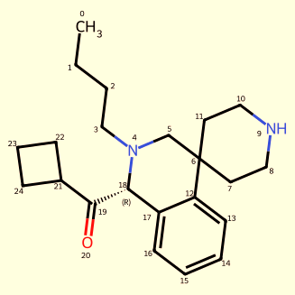 CCCCN1CC2(CCNCC2)c2ccccc2[C@@H]1C(=O)C1CCC1